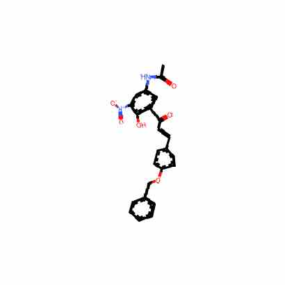 CC(=O)Nc1cc(C(=O)C=Cc2ccc(OCc3ccccc3)cc2)c(O)c([N+](=O)[O-])c1